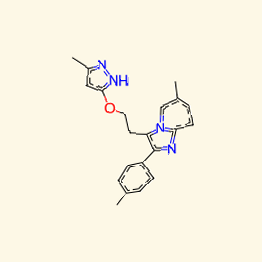 Cc1ccc(-c2nc3ccc(C)cn3c2CCOc2cc(C)n[nH]2)cc1